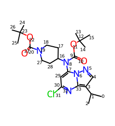 CC(C)c1cnn2c(N(C(=O)OC(C)(C)C)C3CCN(C(=O)OC(C)(C)C)CC3)cc(Cl)nc12